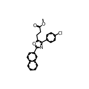 COC(=O)CCc1oc(-c2ccc3ccccc3c2)nc1-c1ccc(Cl)cc1